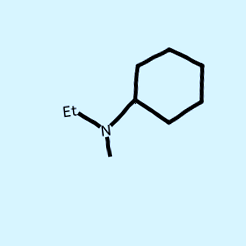 CCN(C)[C]1CCCCC1